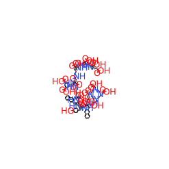 O=C(O)CC[C@H](NC(=O)N[C@@H](CCC(=O)N[C@@H](CCCNC(=O)C[C@@H](NC(=O)c1cc(C(=O)O)cc(C(=O)O)c1)C(=O)NCCCC[C@@H](NC(=O)[C@@H](Cc1ccc2ccccc2c1)NC(=O)[C@@H](Cc1ccc(O)cc1)NC(=O)[C@H](Cc1ccc2ccccc2c1)NC(=O)CCC(C(=O)O)N1CCN(CC(=O)O)CCN(CC(=O)O)CCN(CC(=O)O)CC1)C(=O)O)C(=O)O)C(=O)O)C(=O)O